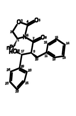 CCC[C@@H]1COC(=O)N1C(=O)[C@@H](Cc1ccccc1)[C@@H](O)c1ccccc1